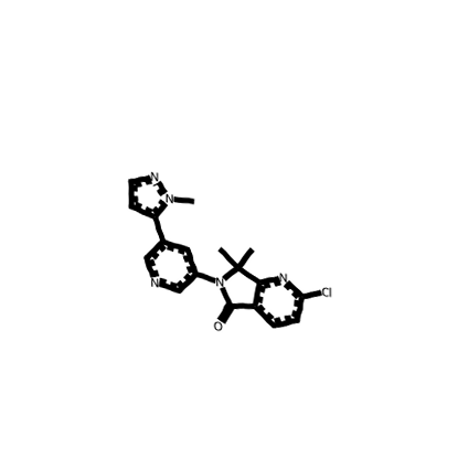 Cn1nccc1-c1cncc(N2C(=O)c3ccc(Cl)nc3C2(C)C)c1